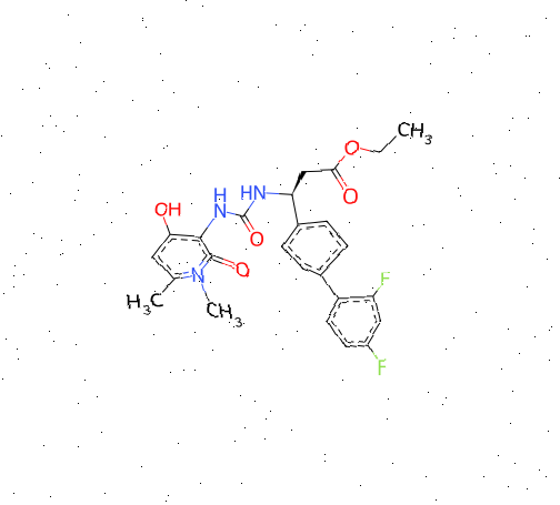 CCOC(=O)C[C@H](NC(=O)Nc1c(O)cc(C)n(C)c1=O)c1ccc(-c2ccc(F)cc2F)cc1